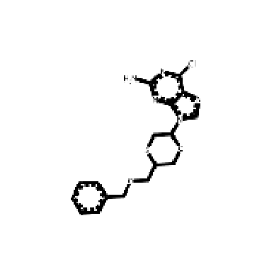 Nc1nc(Cl)c2ncn(C3CSC(COCc4ccccc4)CO3)c2n1